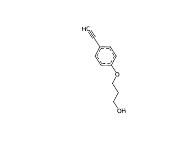 C#Cc1ccc(OCCCO)cc1